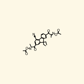 CCC1(CC)c2cc(C(=O)/C(C)=N/OC(C)=O)ccc2-c2c(C#N)cc(C(=O)/C(C)=N/OC(C)=O)cc21